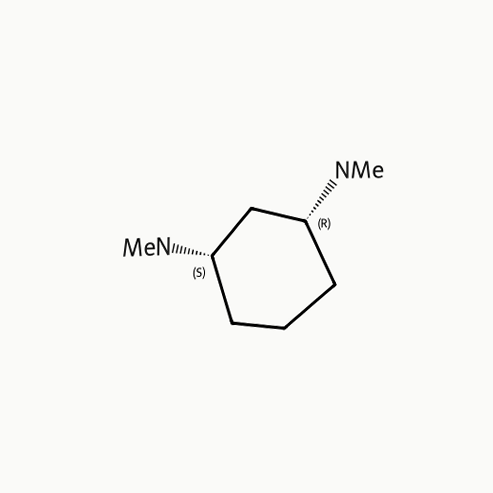 CN[C@@H]1CCC[C@H](NC)C1